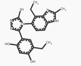 CCc1cc(-c2nnc(S)n2-c2ccc3[nH]c(C)nc3c2CC)c(O)cc1O